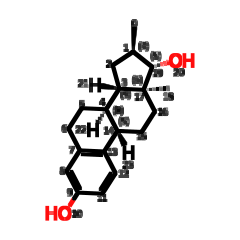 C[C@@H]1C[C@H]2[C@@H]3CCc4cc(O)ccc4[C@H]3CC[C@]2(C)[C@H]1O